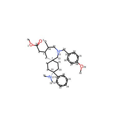 COC(=O)CC1C[C@]2(CC[C@@](c3ccccc3)(N(C)C)CC2)CN(Cc2ccc(OC)cc2)CC1C